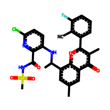 Cc1cc(C(C)Nc2ccc(Cl)nc2C(=O)NS(C)(=O)=O)c2oc(-c3cccc(F)c3C#N)c(C)c(=O)c2c1